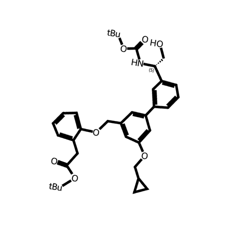 CC(C)(C)OC(=O)Cc1ccccc1OCc1cc(OCC2CC2)cc(-c2cccc([C@@H](CO)NC(=O)OC(C)(C)C)c2)c1